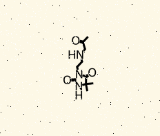 CC(=O)CNCCN1C(=O)NC(C)(C)C1=O